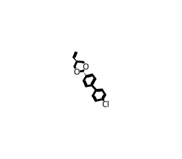 C=C[C@H]1CO[C@H](c2ccc(-c3ccc(Cl)cc3)cc2)OC1